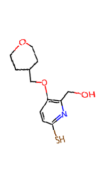 OCc1nc(S)ccc1OCC1CCOCC1